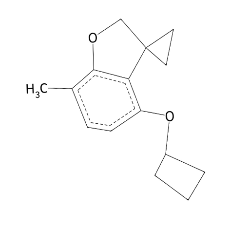 Cc1ccc(OC2CCC2)c2c1OCC21CC1